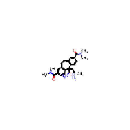 C[C@H](N)CC1(C(N)=O)c2ccc(C(=O)N(C)C)cc2CCc2cc(C(=O)N(C)C)ccc21